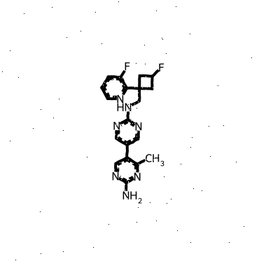 Cc1nc(N)ncc1-c1cnc(NCC2(c3ncccc3F)CC(F)C2)nc1